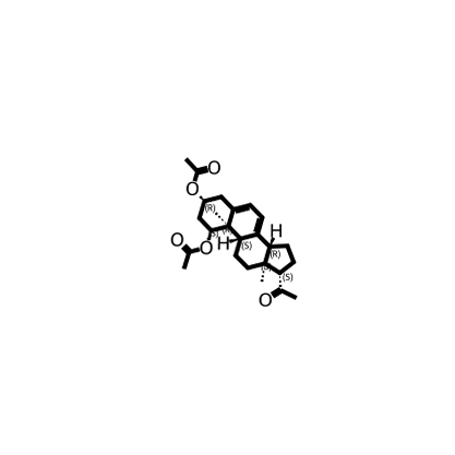 CC(=O)O[C@@H]1CC2=CC=C3[C@@H]4CC[C@H](C(C)=O)[C@@]4(C)CC[C@@H]3[C@@]2(C)[C@@H](OC(C)=O)C1